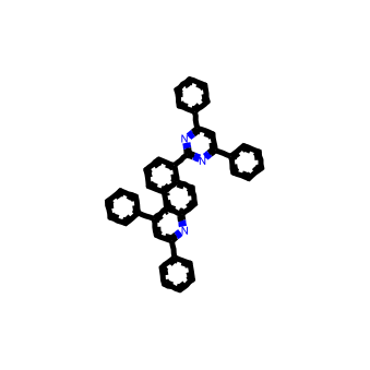 c1ccc(-c2cc(-c3ccccc3)nc(-c3cccc4c3ccc3nc(-c5ccccc5)cc(-c5ccccc5)c34)n2)cc1